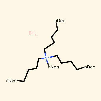 CCCCCCCCCCCCCC[N+](CCCCCCCCC)(CCCCCCCCCCCCCC)CCCCCCCCCCCCCC.[BH4-]